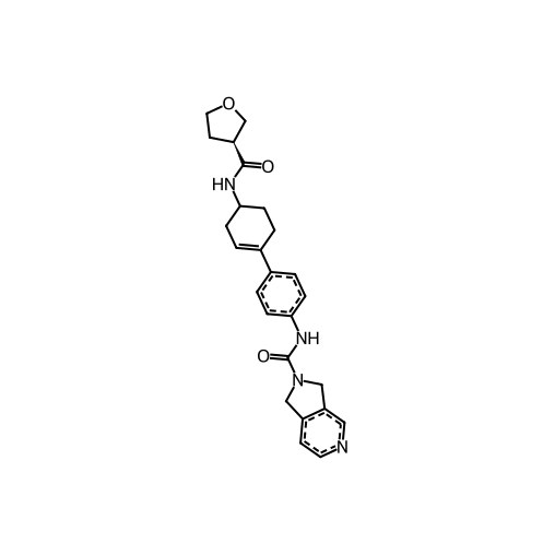 O=C(NC1CC=C(c2ccc(NC(=O)N3Cc4ccncc4C3)cc2)CC1)[C@H]1CCOC1